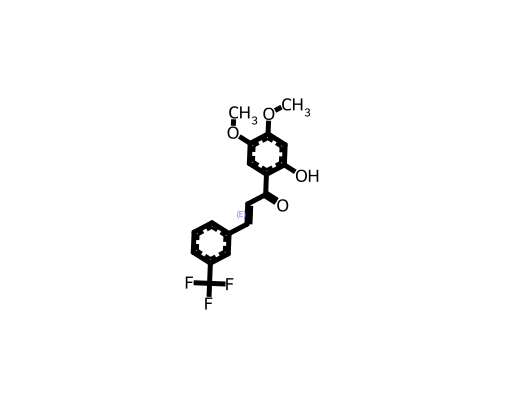 COc1cc(O)c(C(=O)/C=C/c2cccc(C(F)(F)F)c2)cc1OC